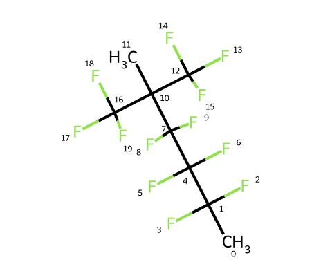 CC(F)(F)C(F)(F)C(F)(F)C(C)(C(F)(F)F)C(F)(F)F